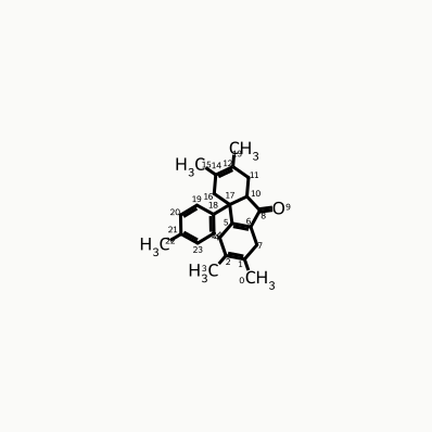 CC1=C(C)CC2=C(C1)C(=O)C1CC(C)=C(C)CC21c1ccc(C)cc1